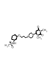 Cn1c(N2CCN(CCCOc3cccc(NS(C)(=O)=O)c3)CC2)cc(=O)n(C)c1=O